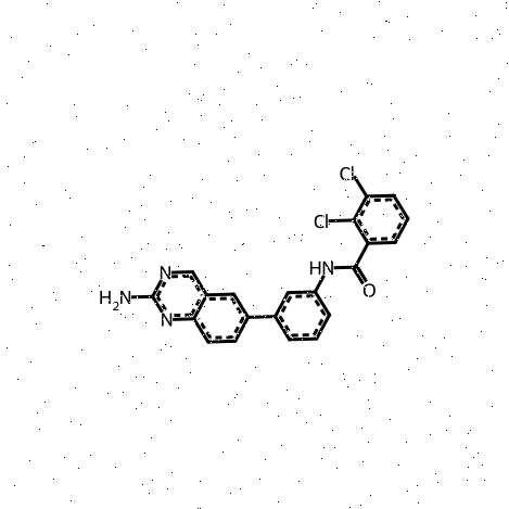 Nc1ncc2cc(-c3cccc(NC(=O)c4cccc(Cl)c4Cl)c3)ccc2n1